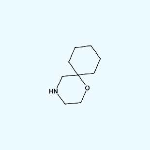 C1CCC2(CC1)CNCCO2